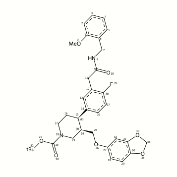 COc1ccccc1CNC(=O)Cc1cc([C@@H]2CCN(C(=O)OC(C)(C)C)C[C@@H]2COc2ccc3c(c2)OCO3)ccc1F